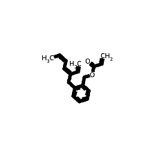 C=CC(=O)OCc1ccccc1C/C(C=C)=C/C=C\C